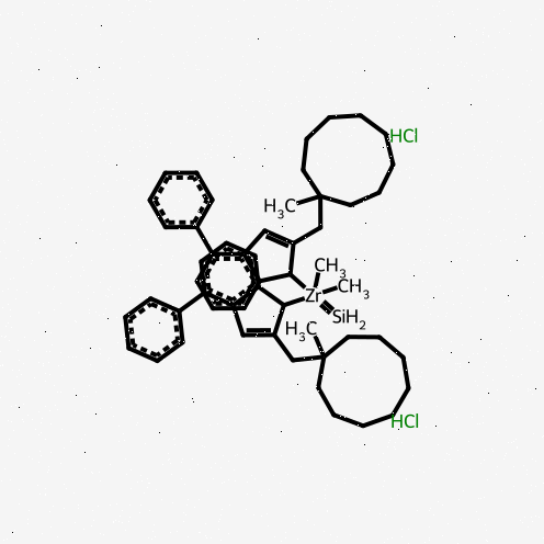 CC1(CC2=Cc3c(-c4ccccc4)cccc3[CH]2[Zr]([CH3])([CH3])(=[SiH2])[CH]2C(CC3(C)CCCCCCCC3)=Cc3c(-c4ccccc4)cccc32)CCCCCCCC1.Cl.Cl